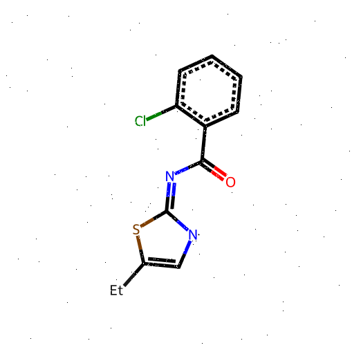 CCC1=C[N]C(=NC(=O)c2ccccc2Cl)S1